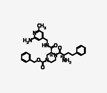 Cc1cc(CNC(=O)[C@@H]2CN(C(=O)OCc3ccccc3)CCN2C(=O)[C@H](N)CCc2ccccc2)cc(N)n1